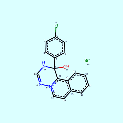 OC1(c2ccc(Cl)cc2)NC=N[n+]2ccc3ccccc3c21.[Br-]